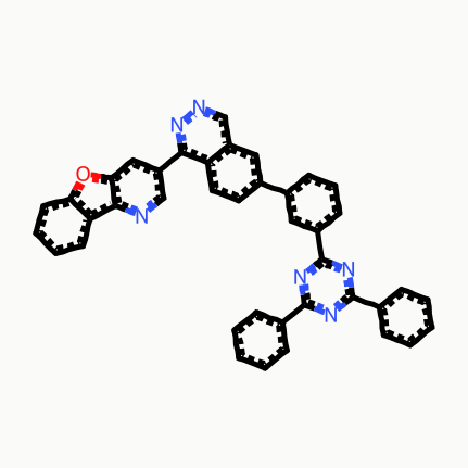 c1ccc(-c2nc(-c3ccccc3)nc(-c3cccc(-c4ccc5c(-c6cnc7c(c6)oc6ccccc67)nncc5c4)c3)n2)cc1